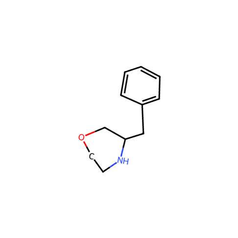 c1ccc(CC2COCCN2)cc1